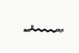 CONCCCCCCCC(=O)O